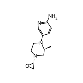 C[C@H]1CN([C@@H]2CO2)CCN1c1ccc(N)nc1